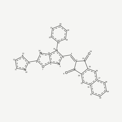 O=C1C(=Cc2nc3oc(-c4nccs4)nc3n2-c2ccccc2)C(=O)c2cc3ccccc3cc21